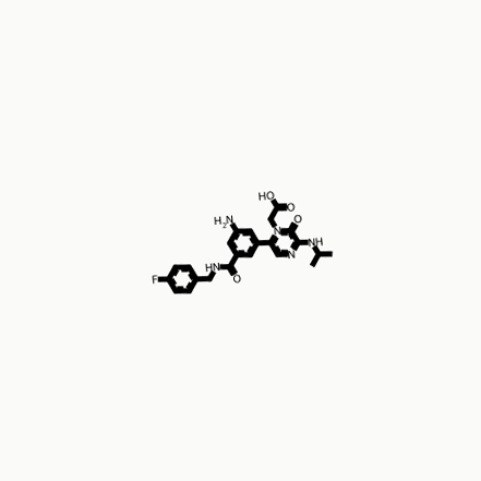 CC(C)Nc1ncc(-c2cc(N)cc(C(=O)NCc3ccc(F)cc3)c2)n(CC(=O)O)c1=O